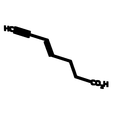 C#CC=CCCC(=O)O